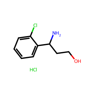 Cl.NC(CCO)c1ccccc1Cl